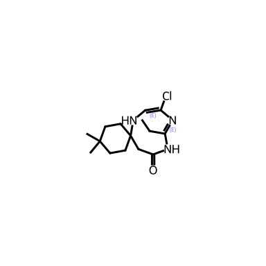 CC/C1=N\C(Cl)=C/NC2(CCC(C)(C)CC2)CC(=O)N1